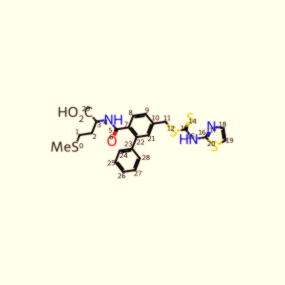 CSCCC(NC(=O)c1ccc(CSC(=S)Nc2nccs2)cc1-c1ccccc1)C(=O)O